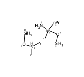 CCC[Si](C)(N)O[SiH3].C[SiH](C)O[SiH3]